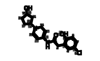 O=C(Cc1cc(Cl)ccc1O)NC1=CCN([C@H]2CC[C@@H](O)C2)C=C1